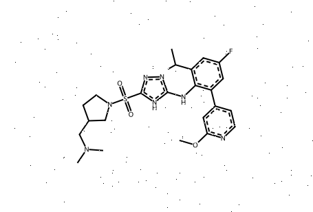 COc1cc(-c2cc(F)cc(C(C)C)c2Nc2nnc(S(=O)(=O)N3CCC(CN(C)C)C3)[nH]2)ccn1